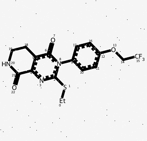 CCSc1nc2c(c(=O)n1-c1ccc(OCC(F)(F)F)cc1)CCNC2=O